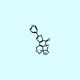 CC(C)[C@]1(O)COCc2c1[nH]c(=O)c1sc(-c3ccncc3)cc21